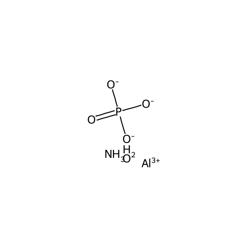 N.O.O=P([O-])([O-])[O-].[Al+3]